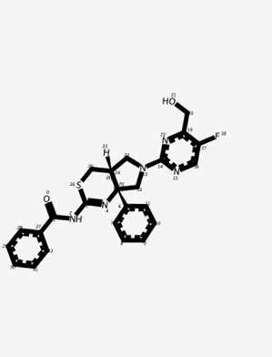 O=C(NC1=N[C@@]2(c3ccccc3)CN(c3ncc(F)c(CO)n3)C[C@H]2CS1)c1ccccc1